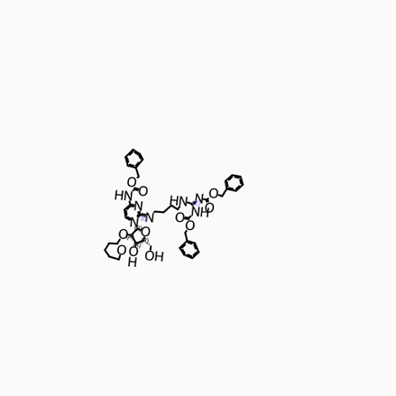 O=C(/N=C(/NCCCC/N=c1\nc(NC(=O)OCc2ccccc2)ccn1[C@@H]1O[C@H](CO)[C@@H](O)[C@H]1OC1CCCCO1)NC(=O)OCc1ccccc1)OCc1ccccc1